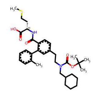 CSCC[C@H](NC(=O)c1ccc(CCN(CC2CCCCC2)C(=O)OC(C)(C)C)cc1-c1ccccc1C)C(=O)O